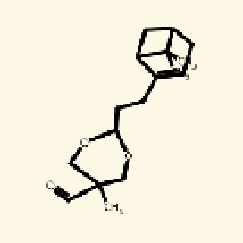 CC1(C=O)COC(CCC2=CCC3CC2C3(C)C)OC1